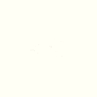 O=CC(c1ccccc1)c1nc(-c2ccncc2)cs1